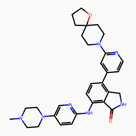 CN1CCN(c2ccc(Nc3ccc(-c4ccnc(N5CCC6(CCCO6)CC5)c4)c4c3C(=O)NC4)nc2)CC1